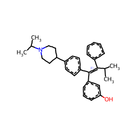 CC(C)/C(=C(/c1ccc(C2CCN(C(C)C)CC2)cc1)c1cccc(O)c1)c1ccccc1